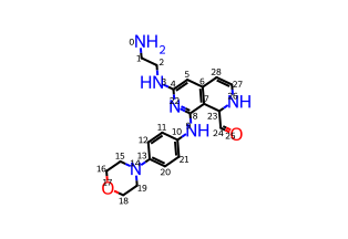 NCCNc1cc2c(c(Nc3ccc(N4CCOCC4)cc3)n1)C(C=O)NC=C2